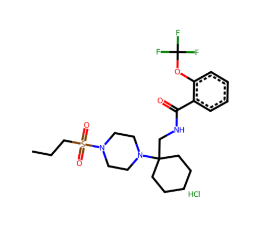 CCCS(=O)(=O)N1CCN(C2(CNC(=O)c3ccccc3OC(F)(F)F)CCCCC2)CC1.Cl